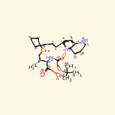 CC(COC1(CCc2ccc3c(n2)CCCN3)CCC1)C(NC(=O)OC(C)(C)C)C(=O)O